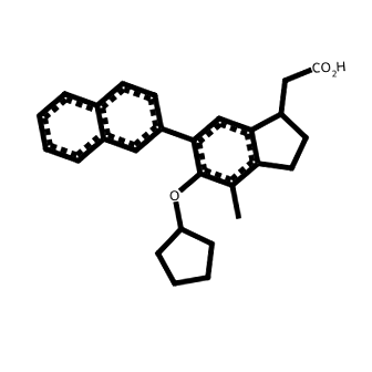 Cc1c2c(cc(-c3ccc4ccccc4c3)c1OC1CCCC1)C(CC(=O)O)CC2